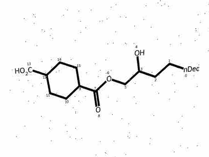 CCCCCCCCCCCCC(O)COC(=O)C1CCC(C(=O)O)CC1